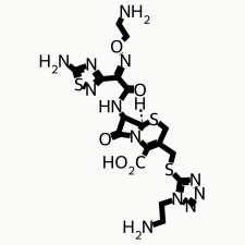 NCCO/N=C(/C(=O)NC1C(=O)N2C(C(=O)O)=C(CSc3nnnn3CCN)CS[C@H]12)c1nsc(N)n1